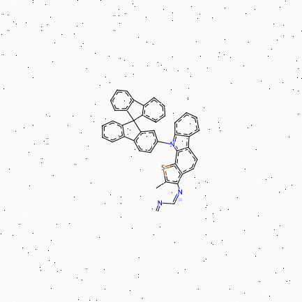 C=N/C=N\c1c(C)sc2c1ccc1c3ccccc3n(-c3ccc4c(c3)C3(c5ccccc5-c5ccccc53)c3ccccc3-4)c12